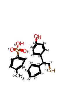 Cc1ccc(S(=O)(=O)O)cc1.Oc1ccc(C(CS)c2ccccc2)cc1